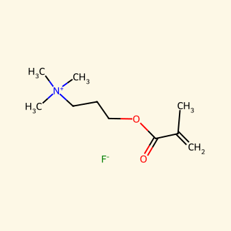 C=C(C)C(=O)OCCC[N+](C)(C)C.[F-]